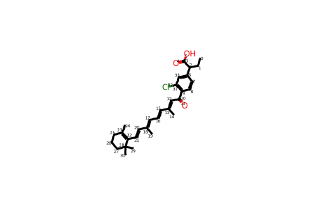 CCC(C(=O)O)c1ccc(C(=O)/C=C(C)/C=C/C=C(C)/C=C/C2=C(C)CCCC2(C)C)c(Cl)c1